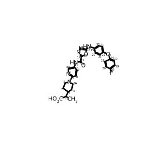 CC(C(=O)O)C1CCN(c2ccc(NC(=O)c3nnc(Nc4ccc(Oc5ccc(F)cc5)cc4)o3)cn2)CC1